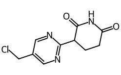 O=C1CCC(c2ncc(CCl)cn2)C(=O)N1